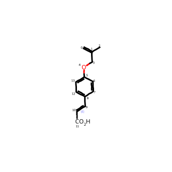 C=C(C)COc1ccc(/C=C/C(=O)O)cc1